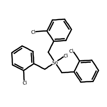 Clc1ccccc1[CH2][Sn]([Cl])([CH2]c1ccccc1Cl)[CH2]c1ccccc1Cl